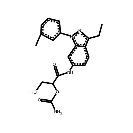 CCc1nn(-c2cccc(C)c2)c2cc(NC(=O)C(CO)OC(N)=O)ccc12